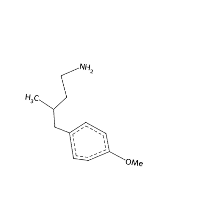 COc1ccc(CC(C)CCN)cc1